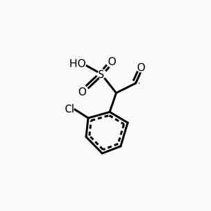 O=[C]C(c1ccccc1Cl)S(=O)(=O)O